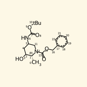 C[C@@H]1C(O)CC(NC(=O)OC(C)(C)C)CN1C(=O)OCc1ccccc1